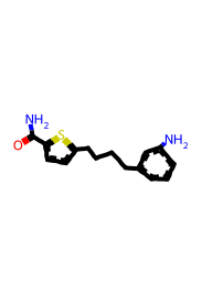 NC(=O)c1ccc(CCCCc2cccc(N)c2)s1